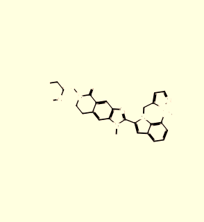 Cn1c(-c2cc3cccc(C#N)c3n2Cc2ccno2)nc2cc3c(cc21)CCN(C[C@@H](CF)NC(=O)O)C3=O